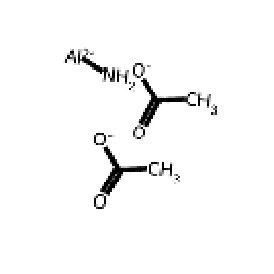 CC(=O)[O-].CC(=O)[O-].[NH2][Al+2]